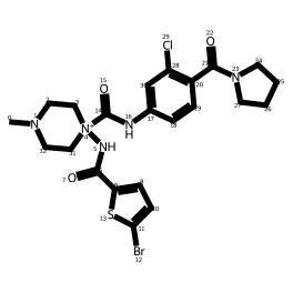 CN1CC[N+](NC(=O)c2ccc(Br)s2)(C(=O)Nc2ccc(C(=O)N3CCCC3)c(Cl)c2)CC1